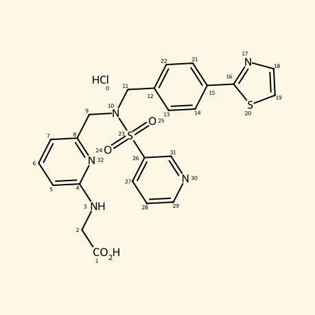 Cl.O=C(O)CNc1cccc(CN(Cc2ccc(-c3nccs3)cc2)S(=O)(=O)c2cccnc2)n1